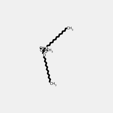 CCCCCCCCCCCCCCOCC(COCCCCCCCCCCCCCC)(OC)OC